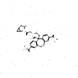 CNC(=N)C1(C[C@H](C)NCC(=O)N2C(C#N)C[C@@H]3C[C@@H]32)c2ccc(C(=O)N(C)C)cc2CCc2cc(C(=O)N(C)C)ccc21